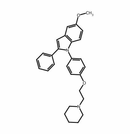 COc1ccc2c(c1)cc(-c1ccccc1)n2-c1ccc(OCCN2CCCCC2)cc1